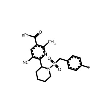 CCCC(=O)c1cc(C#N)c(C2CCCCN2S(=O)(=O)Cc2ccc(F)cc2)nc1C